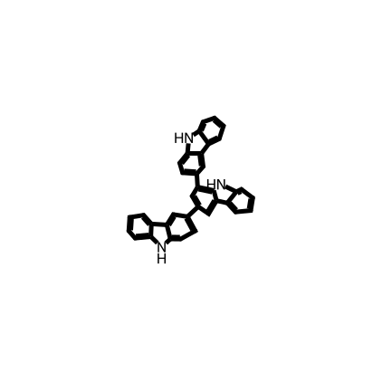 c1ccc2c(c1)[nH]c1ccc(-c3cc(-c4ccc5[nH]c6ccccc6c5c4)c4[nH]c5ccccc5c4c3)cc12